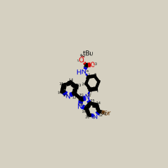 CC(C)(C)OC(=O)N[C@H]1CCC[C@@H](n2c(-c3ccccn3)nc3cnc(Br)cc32)C1